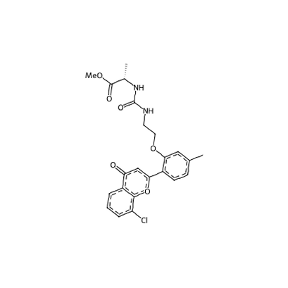 COC(=O)[C@H](C)NC(=O)NCCOc1cc(C)ccc1-c1cc(=O)c2cccc(Cl)c2o1